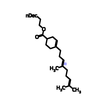 CCCCCCCCCCCCOC(=O)C1CC=C(CC/C=C(\C)CCC=C(C)C)CC1